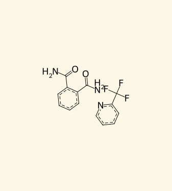 FC(F)(F)c1ccccn1.NC(=O)c1ccccc1C(N)=O